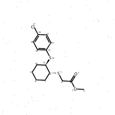 COC(=O)CS[C@@H]1CCCC[C@H]1Sc1ccc(Cl)cc1